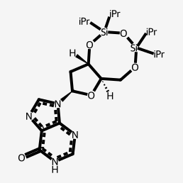 CC(C)[Si]1(C(C)C)OC[C@H]2O[C@@H](n3cnc4c(=O)[nH]cnc43)C[C@@H]2O[Si](C(C)C)(C(C)C)O1